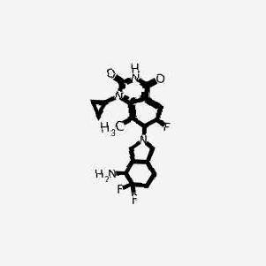 CC1=c2c(c(=O)[nH]c(=O)n2C2CC2)=CC(F)C1N1CC2CCC(F)(F)C(N)C2C1